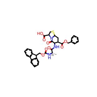 C[C@H](NC(=O)OCC1c2ccccc2-c2ccccc21)C(=O)NC1C(=O)N2C(CC1C(=O)OCc1ccccc1)SCC2C(=O)O